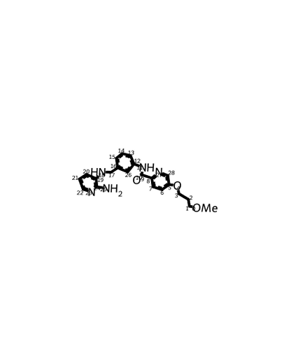 COCCCOc1ccc(C(=O)Nc2cccc(CNc3cccnc3N)c2)nc1